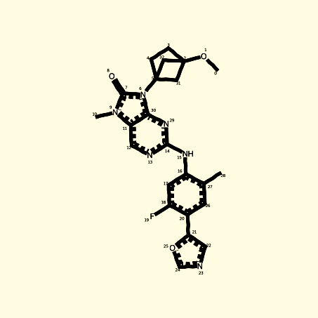 COC12CCC(n3c(=O)n(C)c4cnc(Nc5cc(F)c(-c6cnco6)cc5C)nc43)(C1)C2